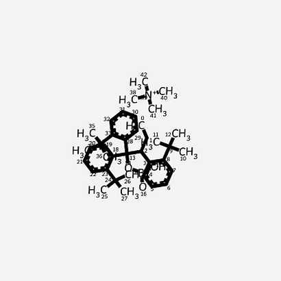 CCC(c1ccccc1C(C)(C)C)C(OB([O-])O)(c1ccccc1C(C)(C)C)c1ccccc1C(C)(C)C.C[N+](C)(C)C